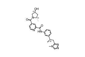 C[C@H](Cc1nncn1C)c1cccc(NC(=O)c2cc(C(=O)N3C[C@@H](O)C[C@@H]3C)ccn2)c1